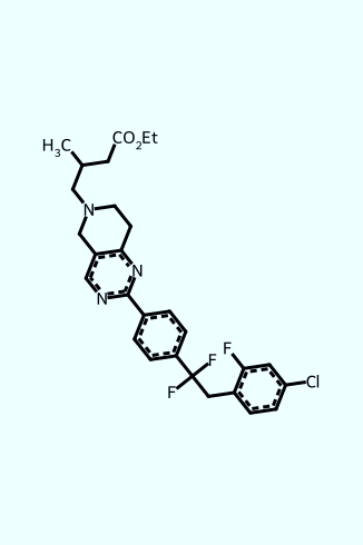 CCOC(=O)CC(C)CN1CCc2nc(-c3ccc(C(F)(F)Cc4ccc(Cl)cc4F)cc3)ncc2C1